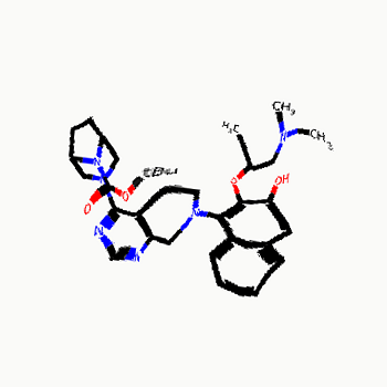 CC(CN(C)C)Oc1c(O)cc2ccccc2c1N1CCc2c(ncnc2N2CC3CCC(C2)N3C(=O)OC(C)(C)C)C1